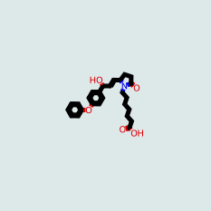 O=C(O)CCCCCCN1C(=O)CCC1C=CC(O)c1ccc(Oc2ccccc2)cc1